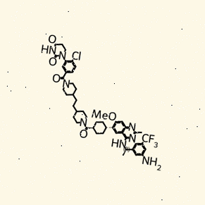 COc1cc2nc(C)nc(N[C@H](C)c3cc(N)cc(C(F)(F)F)c3)c2cc1[C@H]1CC[C@H](C(=O)N2CCC(CCC3CCN(C(=O)c4ccc(Cl)c(N5CCC(=O)NC5=O)c4)CC3)CC2)CC1